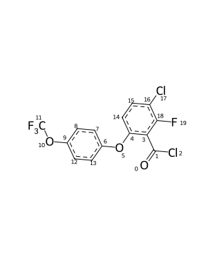 O=C(Cl)c1c(Oc2ccc(OC(F)(F)F)cc2)ccc(Cl)c1F